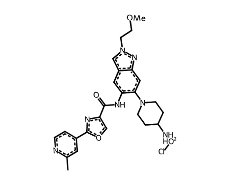 COCCn1cc2cc(NC(=O)c3coc(-c4ccnc(C)c4)n3)c(N3CCC(N)CC3)cc2n1.OCl